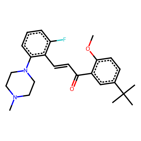 COc1ccc(C(C)(C)C)cc1C(=O)C=Cc1c(F)cccc1N1CCN(C)CC1